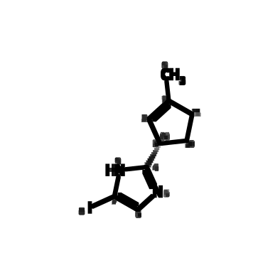 CC1=C[C@@H](c2ncc(I)[nH]2)CC1